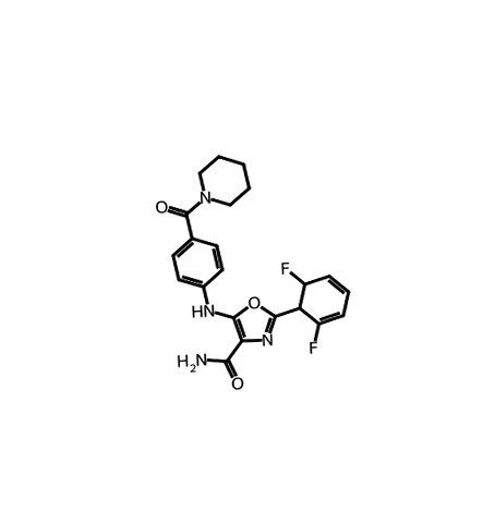 NC(=O)c1nc(C2C(F)=CC=CC2F)oc1Nc1ccc(C(=O)N2CCCCC2)cc1